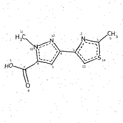 Cc1nc(-c2cc(C(=O)O)n(C)n2)cs1